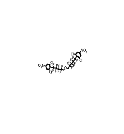 O=[N+]([O-])c1cc(Cl)c(C(F)(F)C(F)(F)C(F)(F)C(F)(F)COCC(F)(F)C(F)(F)C(F)(F)C(F)(F)c2c(Cl)cc([N+](=O)[O-])cc2Cl)c(Cl)c1